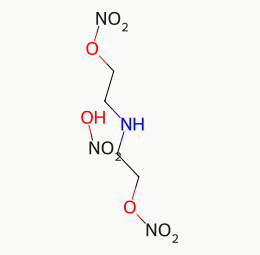 O=[N+]([O-])O.O=[N+]([O-])OCCNCCO[N+](=O)[O-]